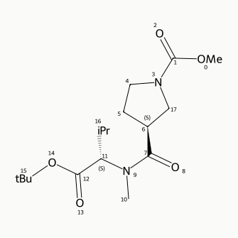 COC(=O)N1CC[C@H](C(=O)N(C)[C@H](C(=O)OC(C)(C)C)C(C)C)C1